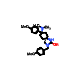 COc1ccc(CN2C[C@]3(CC[C@](c4ccc(OC)cc4)(N(C)C)CC3)NC2O)cc1